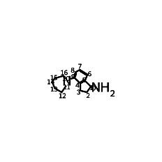 NC1CCc2c1cccc2N1CCCCCC1